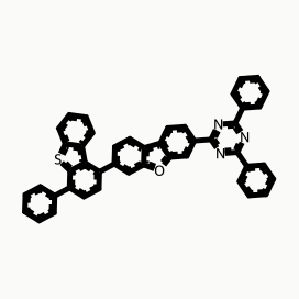 c1ccc(-c2nc(-c3ccccc3)nc(-c3ccc4c(c3)oc3cc(-c5ccc(-c6ccccc6)c6sc7ccccc7c56)ccc34)n2)cc1